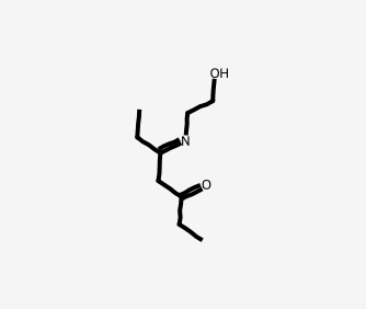 CCC(=O)CC(CC)=NCCO